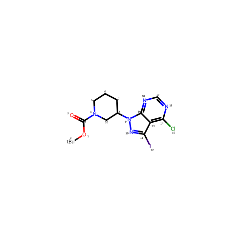 CC(C)(C)OC(=O)N1CCCC(n2nc(I)c3c(Cl)ncnc32)C1